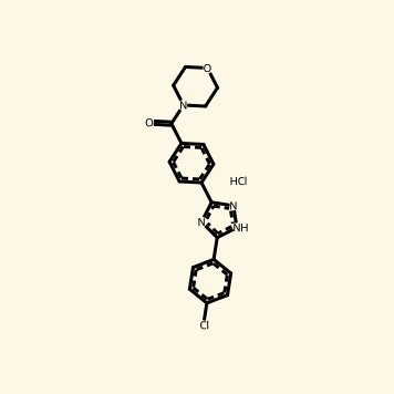 Cl.O=C(c1ccc(-c2n[nH]c(-c3ccc(Cl)cc3)n2)cc1)N1CCOCC1